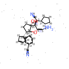 N#C/C(=C1/C(=C\N)O[C@@]2(c3ccc(C#N)cc3)[C@H](C3=CC=CC3)CC[C@@]12O)C1CCCC1